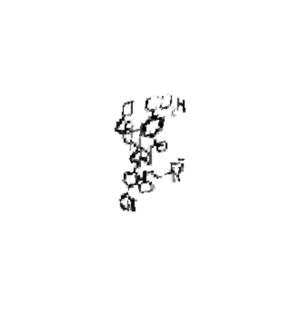 O=C(O)c1ccc(C(=O)n2nc(-c3ccc(-c4cccnc4)c(=O)n3CCc3cscn3)cc2NCc2ccc(Cl)s2)cc1